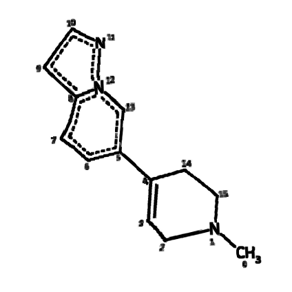 CN1CC=C(c2ccc3ccnn3c2)CC1